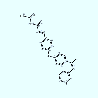 C/C(=C/c1cccnc1)c1ccc(Oc2ccc(/C=C/C(=O)NC(N)=O)cc2)cc1